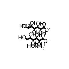 NO.O=C([O-])C(O)C(O)C(O)C(O)CO.O=C([O-])C(O)C(O)C(O)C(O)CO.[Cu+2]